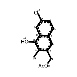 CC(=O)OCc1cc2ccc(Cl)cc2c(O)c1C